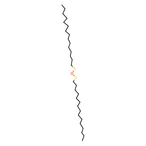 CCCCCCCCCCCCCCCSOSCCCCCCCCCCCCCCC